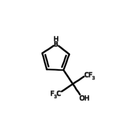 OC(C1=CBC=C1)(C(F)(F)F)C(F)(F)F